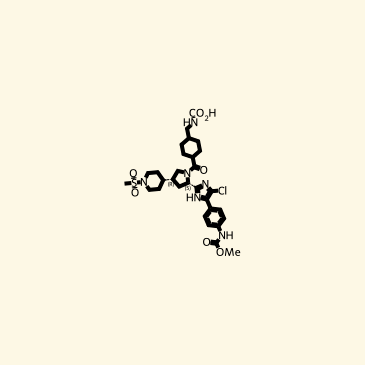 COC(=O)Nc1ccc(-c2[nH]c([C@@H]3C[C@H](C4CCN(S(C)(=O)=O)CC4)CN3C(=O)C3CCC(CNC(=O)O)CC3)nc2Cl)cc1